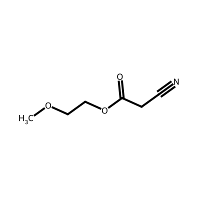 COCCOC(=O)CC#N